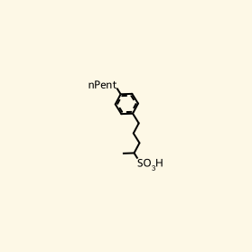 CCCCCc1ccc(CCCC(C)S(=O)(=O)O)cc1